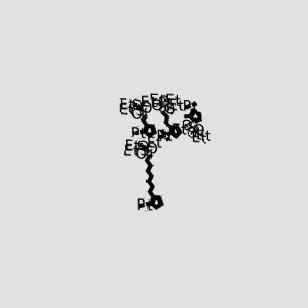 CCO[Si](CCC1=[C]([Pt]([CH3])([CH3])[CH3])CC=C1)(OCC)OCC.CCO[Si](CCCC1=[C]([Pt]([CH3])([CH3])[CH3])CC=C1)(OCC)OCC.CCO[Si](CCCCCCCCC1=[C]([Pt]([CH3])([CH3])[CH3])CC=C1)(OCC)OCC.CCO[Si](OCC)(OCC)C1=CC[C]([Pt]([CH3])([CH3])[CH3])=C1C